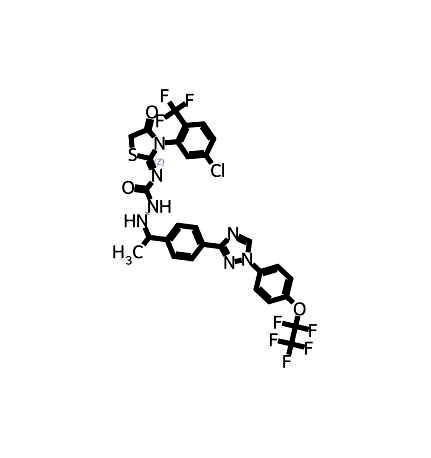 CC(NNC(=O)/N=C1\SCC(=O)N1c1cc(Cl)ccc1C(F)(F)F)c1ccc(-c2ncn(-c3ccc(OC(F)(F)C(F)(F)F)cc3)n2)cc1